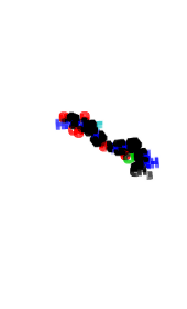 CCc1c[nH]c2ncc(-c3cccc(N4CCN(CCOC5CCN(c6cc7c(cc6F)C(=O)N(C6CCC(=O)NC6=O)C7=O)CC5)CC4=O)c3)c(Cl)c12